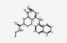 CCNC(=O)N1CCN(/C(=N\C#N)Nc2cccc3ncccc23)C(C(C)C)C1